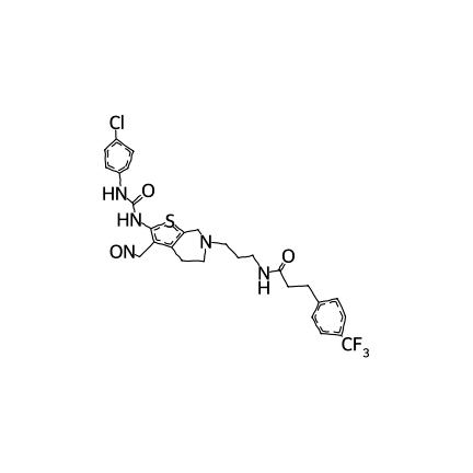 O=NCc1c(NC(=O)Nc2ccc(Cl)cc2)sc2c1CCN(CCCNC(=O)CCc1ccc(C(F)(F)F)cc1)C2